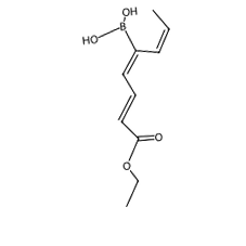 C\C=C/C(=C\C=C\C(=O)OCC)B(O)O